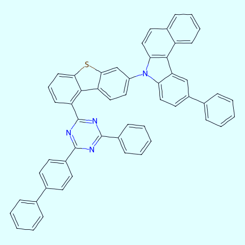 c1ccc(-c2ccc(-c3nc(-c4ccccc4)nc(-c4cccc5sc6cc(-n7c8ccc(-c9ccccc9)cc8c8c9ccccc9ccc87)ccc6c45)n3)cc2)cc1